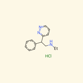 CCNCC(c1ccccc1)c1cccnn1.Cl